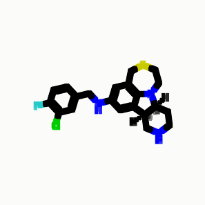 Fc1ccc(CNc2cc3c4c(c2)[C@@H]2CNCC[C@@H]2N4CCSC3)cc1Cl